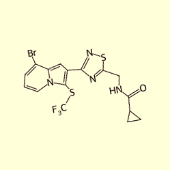 O=C(NCc1nc(-c2cc3c(Br)cccn3c2SC(F)(F)F)ns1)C1CC1